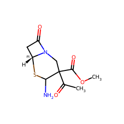 COC(=O)C1(C(C)=O)CN2C(=O)C[C@H]2SC1N